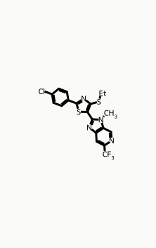 CCSc1nc(-c2ccc(Cl)cc2)sc1-c1nc2cc(C(F)(F)F)ncc2n1C